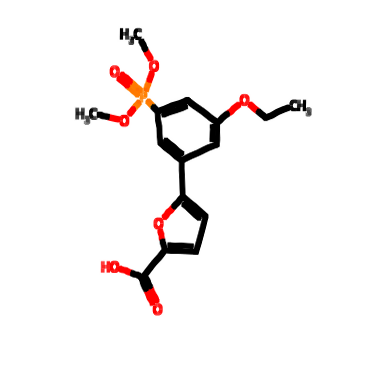 CCOc1cc(-c2ccc(C(=O)O)o2)cc(P(=O)(OC)OC)c1